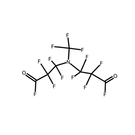 O=C(F)C(F)(F)C(F)(F)N(C(F)(F)F)C(F)(F)C(F)(F)C(=O)F